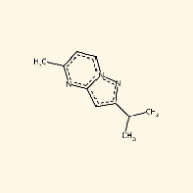 Cc1ccn2nc(C(C)C)cc2n1